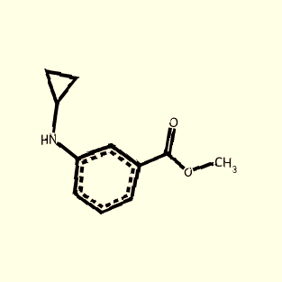 COC(=O)c1cccc(NC2CC2)c1